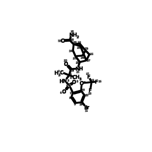 CC(C)(NS(=O)(=O)c1ccc(Br)cc1OC(F)(F)F)C(=O)NC1C2CC3CC1CC(C(N)=O)(C3)C2